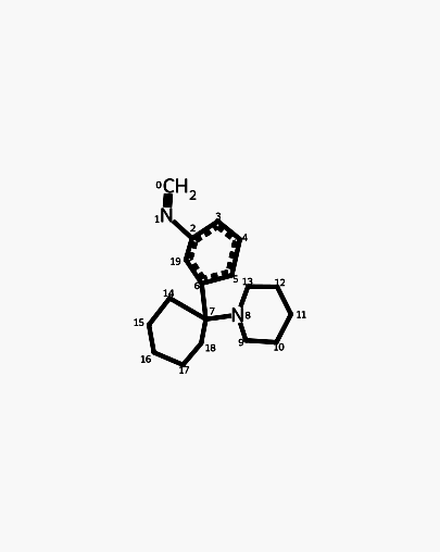 C=Nc1cccc(C2(N3CCCCC3)CCCCC2)c1